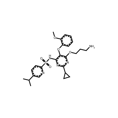 COc1ccccc1Oc1c(NS(=O)(=O)c2ccc(C(C)C)cn2)nc(C2CC2)nc1OCCCN